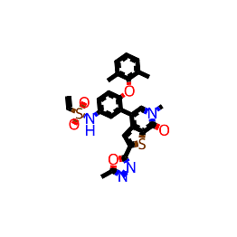 C=CS(=O)(=O)Nc1ccc(Oc2c(C)cccc2C)c(-c2cn(C)c(=O)c3sc(-c4nnc(C)o4)cc23)c1